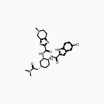 CN1CCc2nc(C(=O)N[C@@H]3C[C@@H](CC(=O)N(C)C)CC[C@@H]3NC(=O)c3cc4cc(Cl)ccc4[nH]3)sc2C1